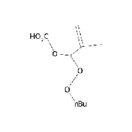 C=C(C)C(OOCCCC)OC(=O)O